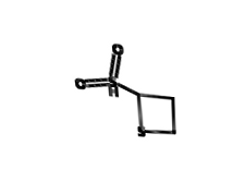 O=[SH](=O)C1CCS1